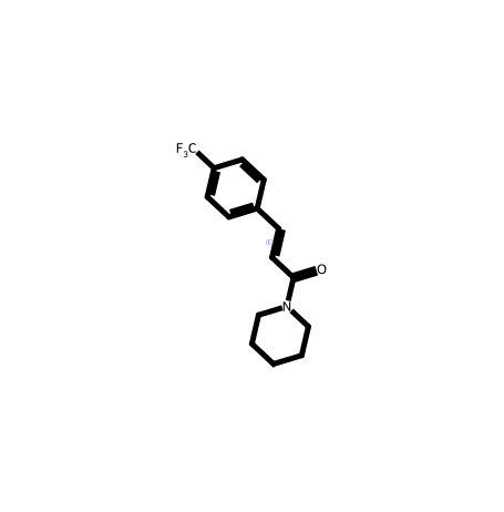 O=C(/C=C/c1ccc(C(F)(F)F)cc1)N1CC[CH]CC1